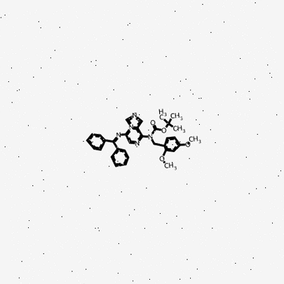 COc1ccc(CN(C(=O)OC(C)(C)C)c2ncc(N=C(c3ccccc3)c3ccccc3)n3cncc23)c(OC)c1